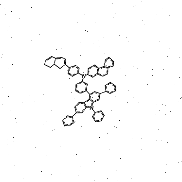 C1=CC2=CC=C(c3ccc(N(c4cccc(-c5cc(-c6ccccc6)cc6c5c5ccc(-c7ccccc7)cc5n6-c5ccccc5)c4)c4ccc5c(ccc6ccccc65)c4)cc3)CC2CC1